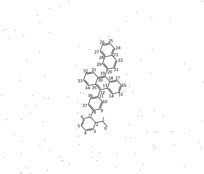 CCC1C=CC=CC1c1ccc(-c2c3ccccc3c(-c3ccc4ccccc4c3)c3ccccc23)cc1